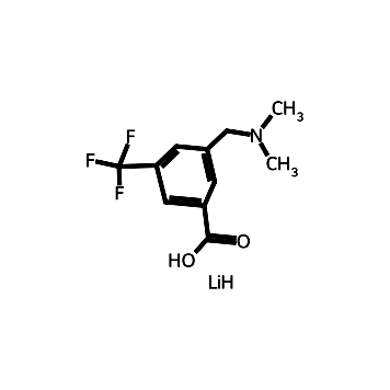 CN(C)Cc1cc(C(=O)O)cc(C(F)(F)F)c1.[LiH]